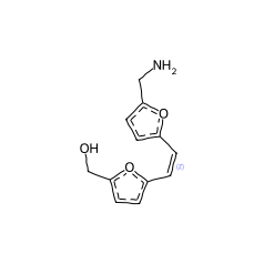 NCc1ccc(/C=C\c2ccc(CO)o2)o1